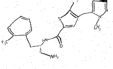 Cc1sc(C(=O)N[C@H](CN)Cc2ccccc2C(F)(F)F)cc1-c1ccnn1C